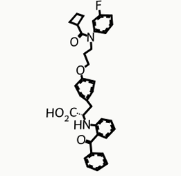 O=C(c1ccccc1)c1ccccc1N[C@@H](Cc1ccc(OCCCN(C(=O)C2CCC2)c2cccc(F)c2)cc1)C(=O)O